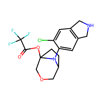 O=C(OC12CCC(COC1)N2c1cc2c(cc1Cl)CNC2)C(F)(F)F